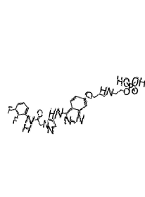 O=C(Cn1cc(Nc2ncnc3cc(OCCCNCCOP(=O)(O)O)ccc23)cn1)Nc1cccc(F)c1F